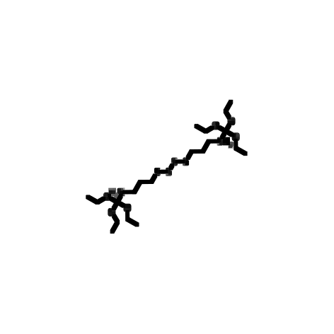 CCOC(OCC)(OCC)[SiH2]CCCSSSSCCC[SiH2]C(OCC)(OCC)OCC